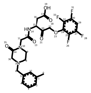 Cc1cccc(CN2CCN(CC(=O)N[C@@H](CC(=O)O)C(=O)COc3c(F)c(F)cc(F)c3F)C(=O)C2)c1